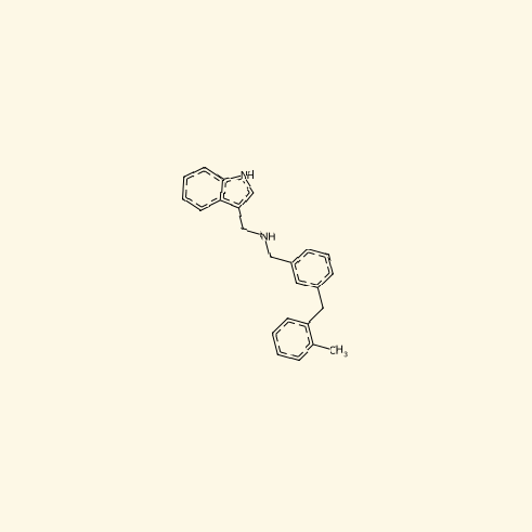 Cc1ccccc1Cc1cccc(CNCc2c[nH]c3ccccc23)c1